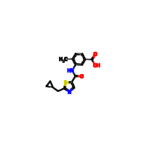 Cc1ccc(C(=O)O)cc1NC(=O)c1cnc(CC2CC2)s1